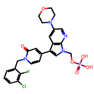 O=c1cc(-c2cn(COP(=O)(O)O)c3ncc(N4CCOCC4)cc23)ccn1Cc1cccc(Cl)c1F